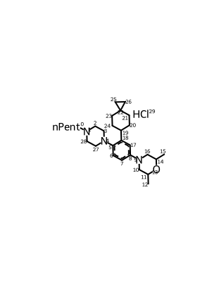 CCCCCN1CCN(c2ccc(N3CC(C)OC(C)C3)cc2C2CCC3(CC2)CC3)CC1.Cl